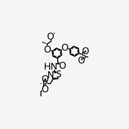 CCO[P@@](C)(=O)Cc1csc(NC(=O)c2cc(Oc3ccc(S(C)(=O)=O)cc3)cc(O[C@@H](C)COC)c2)n1